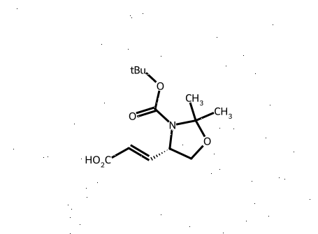 CC(C)(C)OC(=O)N1[C@@H](/C=C/C(=O)O)COC1(C)C